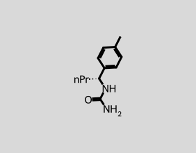 CCC[C@@H](NC(N)=O)c1ccc(C)cc1